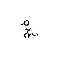 Cc1ccccc1OC(=O)c1ccccc1NC=O